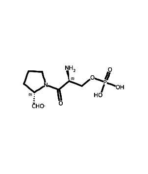 N[C@@H](COP(=O)(O)O)C(=O)N1CCC[C@H]1[C]=O